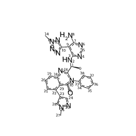 C[C@H](Nc1ncnc(N)c1-c1nnn(C)n1)c1nc2cccc(-c3cnn(C)c3)c2c(=O)n1-c1ccccc1